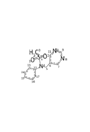 CS(=O)(=O)N(Cc1cncnc1)c1ccccc1